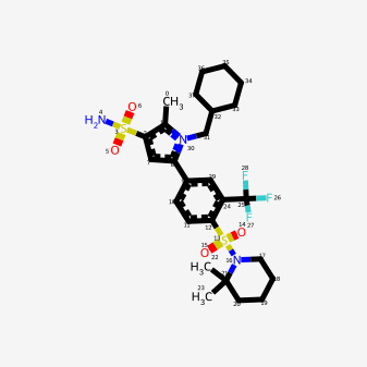 Cc1c(S(N)(=O)=O)cc(-c2ccc(S(=O)(=O)N3CCCCC3(C)C)c(C(F)(F)F)c2)n1CC1CCCCC1